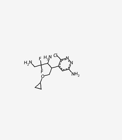 NCC(F)(F)C(N)C(COC1CC1)c1cc(N)nnc1Cl